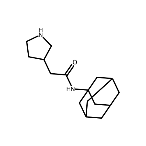 O=C(CC1CCNC1)NC12CC3CC(CC(C3)C1)C2